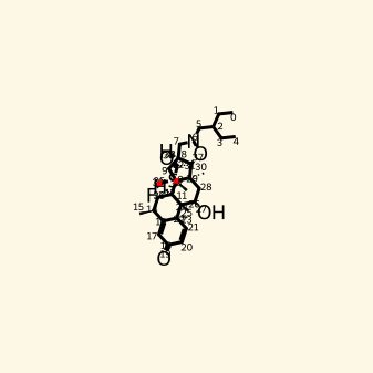 CCC(CC)CN1C[C@@H]2C[C@@]3(C)[C@@H]4C[C@H](C)C5=CC(=O)C=C[C@]5(C)[C@@]4(C)[C@@H](O)C[C@]3(C)[C@]2(C(=O)SCF)O1